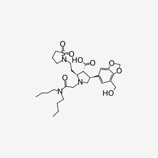 CCCCN(CCCC)C(=O)CN1C[C@H](c2cc(CO)c3c(c2)OCO3)[C@@H](C(=O)O)[C@@H]1CCN1CCCS1(=O)=O